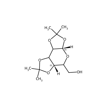 CC1(C)OC2C3OC(C)(C)O[C@H]3C(CO)O[C@H]2O1